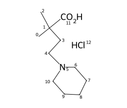 CC(C)(CCN1CCCCC1)C(=O)O.Cl